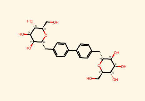 OC[C@H]1O[C@H](Cc2ccc(-c3ccc(C[C@H]4O[C@H](CO)[C@@H](O)[C@H](O)[C@@H]4O)cc3)cc2)[C@@H](O)[C@@H](O)[C@@H]1O